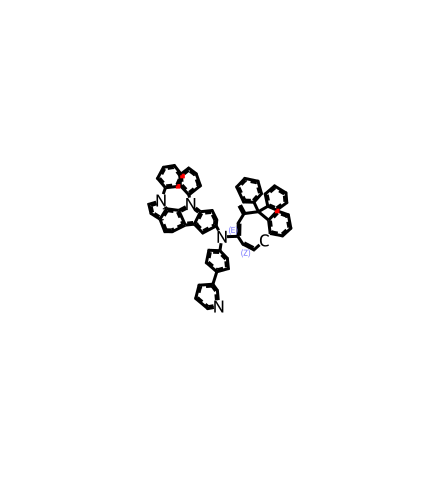 C=C1/C=C(N(c2ccc(-c3cccnc3)cc2)c2ccc3c(c2)c2ccc4ccn(-c5ccccc5)c4c2n3-c2ccccc2)\C=C/Cc2ccccc2C1(c1ccccc1)c1ccccc1